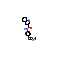 O=C(O)c1ccc(NC(=O)c2cnc3ccccc3c2)cc1